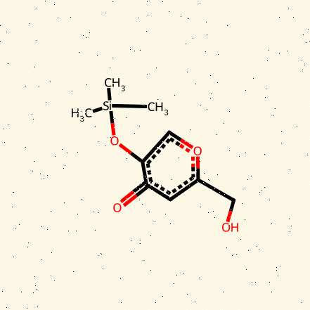 C[Si](C)(C)Oc1coc(CO)cc1=O